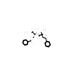 CC(S)(CC(=O)c1ccccc1)C(=O)N[C@@H](CSC(=O)c1ccccc1)C(=O)O